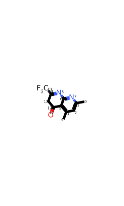 Cc1cc(C)c2c(n1)N=C(C(F)(F)F)CC2=O